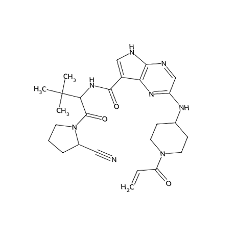 C=CC(=O)N1CCC(Nc2cnc3[nH]cc(C(=O)NC(C(=O)N4CCCC4C#N)C(C)(C)C)c3n2)CC1